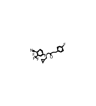 N#Cc1ccc(N(CC(=O)CCc2ccc(F)cc2)CC2CC2)cc1C(F)(F)F